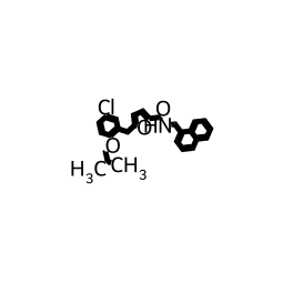 CC(C)COc1ccc(Cl)cc1Cc1ccc(C(=O)NCc2cccc3ccccc23)o1